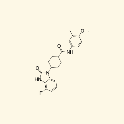 COc1ccc(NC(=O)C2CCC(n3c(=O)[nH]c4c(F)cccc43)CC2)cc1C